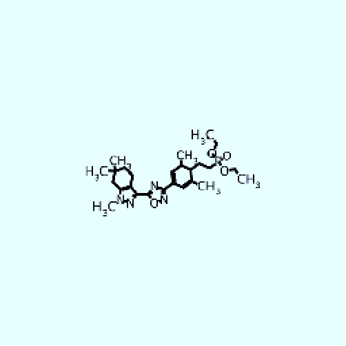 CCOP(=O)(CCC1C(C)=CC(c2noc(-c3nn(C)c4c3CCC(C)(C)C4)n2)=CC1C)OCC